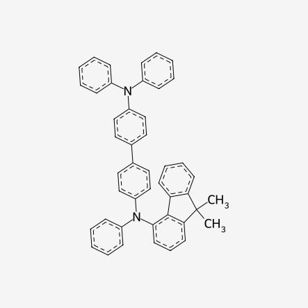 CC1(C)c2ccccc2-c2c(N(c3ccccc3)c3ccc(-c4ccc(N(c5ccccc5)c5ccccc5)cc4)cc3)cccc21